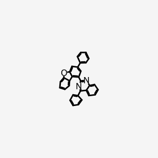 c1ccc(-c2cc(-c3nc(-c4ccccc4)c4ccccc4n3)c3c(c2)oc2ccccc23)cc1